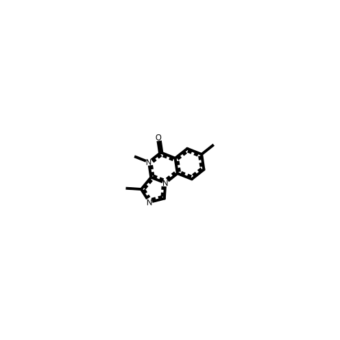 Cc1ccc2c(c1)c(=O)n(C)c1c(C)ncn21